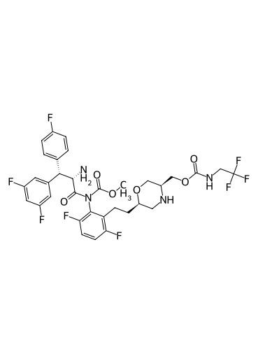 COC(=O)N(C(=O)[C@@H](N)[C@@H](c1ccc(F)cc1)c1cc(F)cc(F)c1)c1c(F)ccc(F)c1CC[C@@H]1CN[C@H](COC(=O)NCC(F)(F)F)CO1